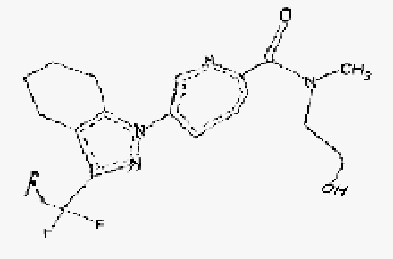 CN(CCO)C(=O)c1ccc(-n2nc(C(F)(F)F)c3c2CCCC3)cn1